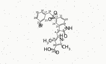 Cc1[nH]c(/C=C2\C(=O)Nc3ccc(S(=O)(=O)Cc4cccc(Br)c4)cc32)c(C)c1C(=O)O